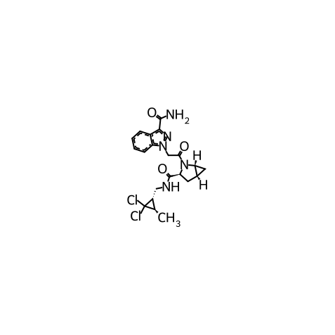 C[C@@H]1[C@@H](CNC(=O)[C@@H]2C[C@H]3C[C@H]3N2C(=O)Cn2nc(C(N)=O)c3ccccc32)C1(Cl)Cl